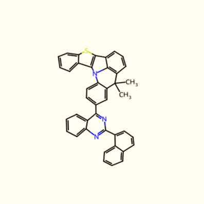 CC1(C)c2cc(-c3nc(-c4cccc5ccccc45)nc4ccccc34)ccc2-n2c3c1cccc3c1sc3ccccc3c12